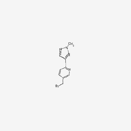 CC(C)Cc1ccc(-c2cnn(C)n2)nc1